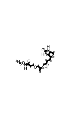 [3H]SONC(=O)CCOCC(C)NCCCCC1SCC2NC(=O)NC21